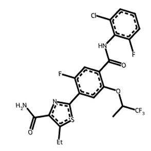 CCc1sc(-c2cc(OC(C)C(F)(F)F)c(C(=O)Nc3c(F)cccc3Cl)cc2F)nc1C(N)=O